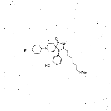 CNCCCCCCC1NC(=O)C2(CCN([C@H]3CC[C@@H](C(C)C)CC3)CC2)N1c1ccccc1.Cl